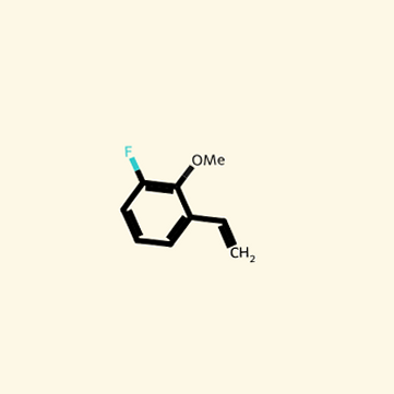 C=Cc1cccc(F)c1OC